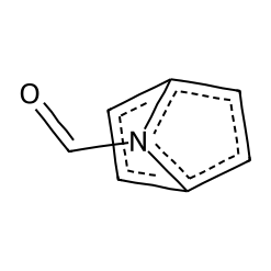 O=Cn1c2ccc1cc2